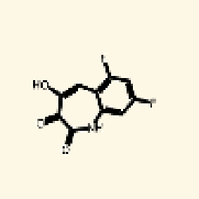 O=c1[nH]c2cc(F)cc(F)c2cc(O)c1=O